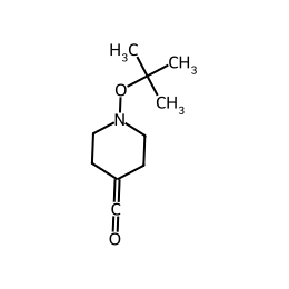 CC(C)(C)ON1CCC(=C=O)CC1